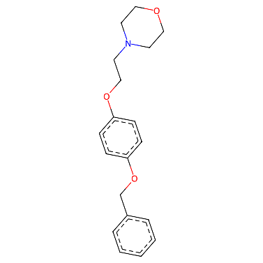 c1ccc(COc2ccc(OCCN3CCOCC3)cc2)cc1